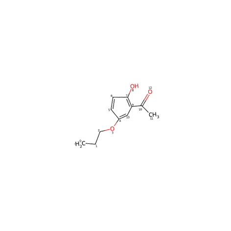 [CH2]CCOc1ccc(O)c(C(C)=O)c1